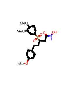 CCCCOc1ccc(CCC(CC(=O)NO)S(=O)(=O)c2ccc(OC)c(OC)c2)cc1